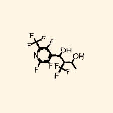 CC(O)C(C(O)c1c(F)c(F)nc(C(F)(F)F)c1F)C(F)(F)F